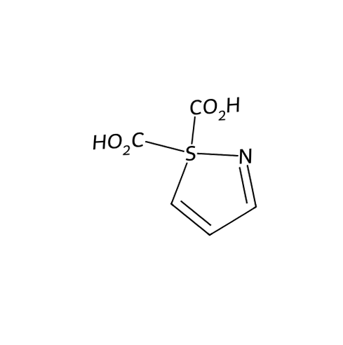 O=C(O)S1(C(=O)O)C=CC=N1